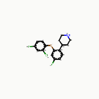 Fc1ccc(Sc2cc(F)ccc2C2CCNCC2)c(Cl)c1